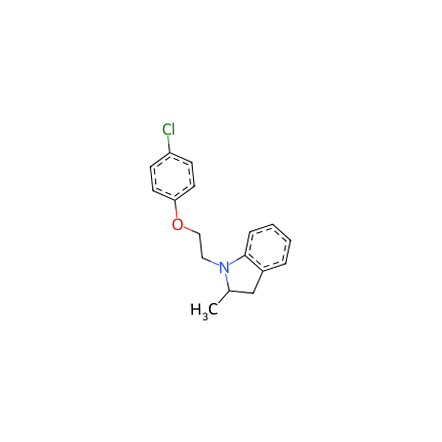 CC1Cc2ccccc2N1CCOc1ccc(Cl)cc1